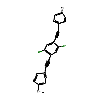 CCCCCCCCCc1ccc(C#Cc2cc(F)c(C#Cc3ccc(CC)cc3)cc2F)cc1